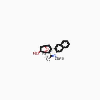 CCC(=NOC)[C@H]1[C@@H](c2ccc3ccccc3c2)CC2CC(O)[C@@H]1O2